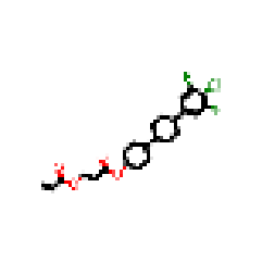 C=CC(=O)OCCC(=O)OC1CCC(C2CCC(c3cc(F)c(Cl)c(F)c3)CC2)CC1